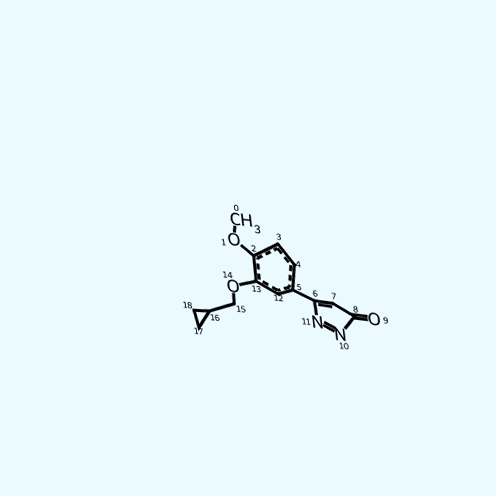 COc1ccc(C2=CC(=O)N=N2)cc1OCC1CC1